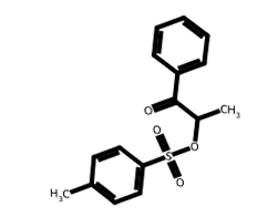 Cc1ccc(S(=O)(=O)OC(C)C(=O)c2ccccc2)cc1